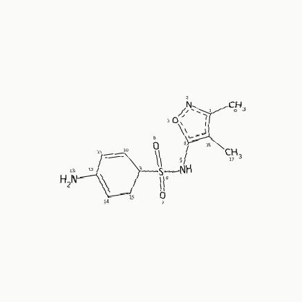 Cc1noc(NS(=O)(=O)C2C=CC(N)=CC2)c1C